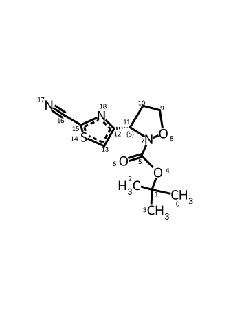 CC(C)(C)OC(=O)N1OCC[C@H]1c1csc(C#N)n1